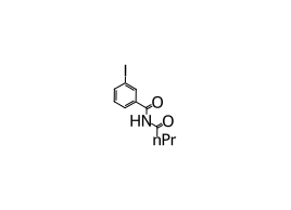 CCCC(=O)NC(=O)c1cccc(I)c1